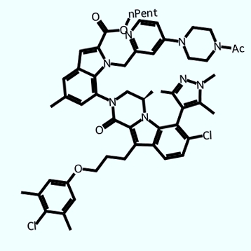 CCCCCOC(=O)c1cc2cc(C)cc(N3C[C@@H](C)n4c(c(CCCOc5cc(C)c(Cl)c(C)c5)c5ccc(Cl)c(-c6c(C)nn(C)c6C)c54)C3=O)c2n1Cc1cc(N2CCN(C(C)=O)CC2)ccn1